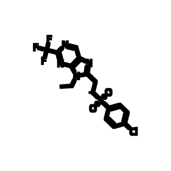 CCn1c(C[CH]S(=O)(=O)c2ccc(Cl)cc2)nc2cnc(C(F)(F)F)nc21